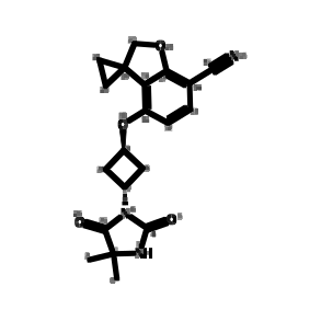 CC1(C)NC(=O)N([C@H]2C[C@H](Oc3ccc(C#N)c4c3C3(CC3)CO4)C2)C1=O